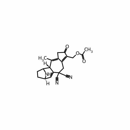 CC(=O)OCC1=C2CC(C#N)(C#N)C3=C[C@H]4CCC(N4)[C@@H]3C(C)=C2CC1=O